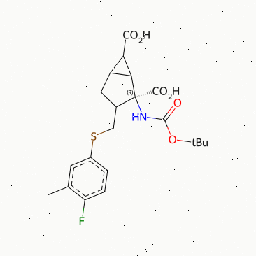 Cc1cc(SCC2CC3C(C(=O)O)C3[C@]2(NC(=O)OC(C)(C)C)C(=O)O)ccc1F